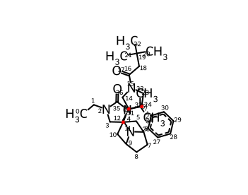 CCN1CC2(CC3CCC(C2)N3C[C@H]2CN(C(=O)CC(C)(C)C)C[C@@H]2c2ccccc2)N(C(C)C)C1=O